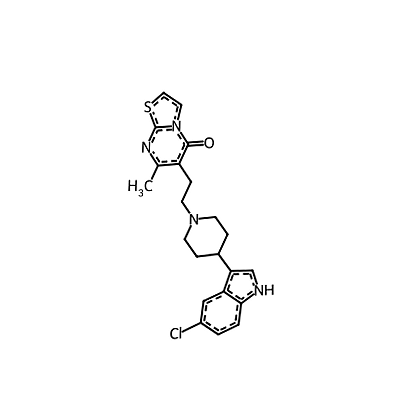 Cc1nc2sccn2c(=O)c1CCN1CCC(c2c[nH]c3ccc(Cl)cc23)CC1